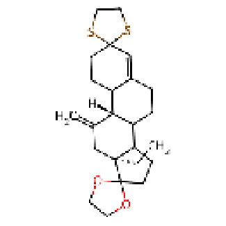 C=C1C[C@@]2(CC)C(CCC23OCCO3)C2CCC3=CC4(CCC3[C@@H]12)SCCS4